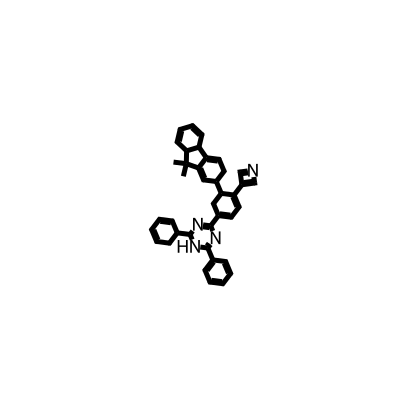 CC1(C)C2=CC(C3CC(C4=NC(C5C=CC=CC5)NC(c5ccccc5)=N4)=CC=C3C3=CN=C3)CC=C2C2C=CC=CC21